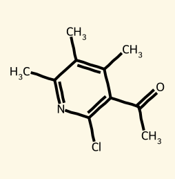 CC(=O)c1c(Cl)nc(C)c(C)c1C